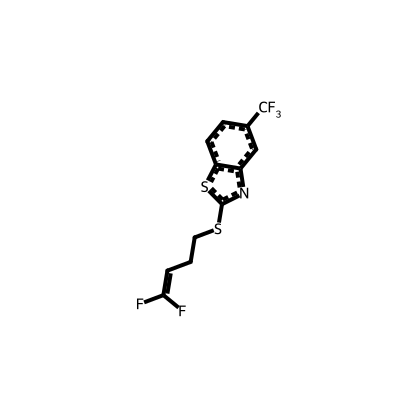 FC(F)=CCCSc1nc2cc(C(F)(F)F)ccc2s1